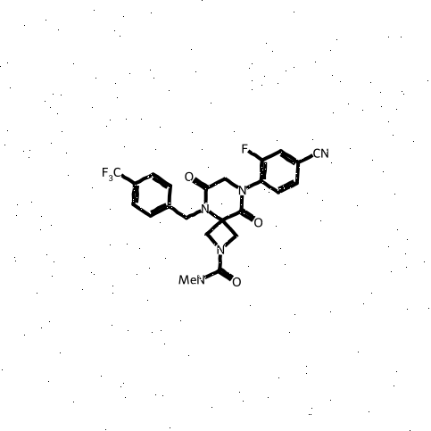 CNC(=O)N1CC2(C1)C(=O)N(c1ccc(C#N)cc1F)CC(=O)N2Cc1ccc(C(F)(F)F)cc1